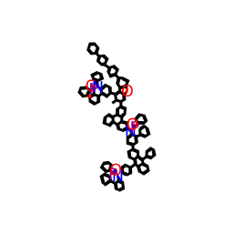 CC1C(c2ccc3c(c2)-c2ccccc2P(=O)(c2ccccc2)N3c2ccccc2)=c2c(oc3ccc(-c4ccc(-c5ccc(-c6ccccc6)cc5)cc4)cc23)=CC1c1ccc2c(c1)c1ccccc1c1ccc(N3c4ccc(-c5ccc6c(-c7ccc(N8c9ccccc9-c9ccccc9P8(=O)c8ccccc8)cc7)c7ccccc7c(-c7ccccc7)c6c5)cc4-c4ccccc4P3(=O)c3ccccc3)cc12